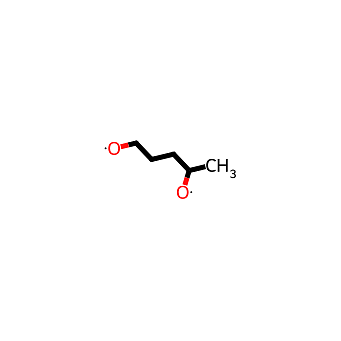 CC([O])CCC[O]